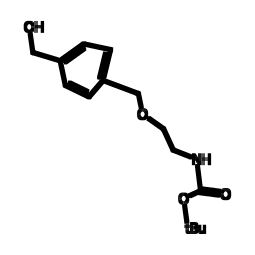 CC(C)(C)OC(=O)NCCOCc1ccc(CO)cc1